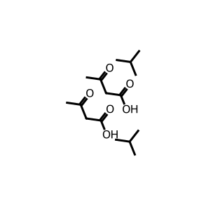 CC(=O)CC(=O)O.CC(=O)CC(=O)O.CC(C)C.CC(C)C